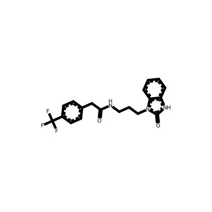 O=C(Cc1ccc(C(F)(F)F)cc1)NCCCn1c(=O)[nH]c2ccccc21